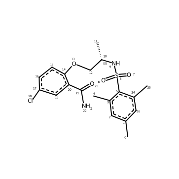 Cc1cc(C)c(S(=O)(=O)N[C@@H](C)COc2ccc(Cl)cc2C(N)=O)c(C)c1